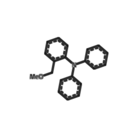 COCc1ccccc1N(c1ccccc1)c1ccccc1